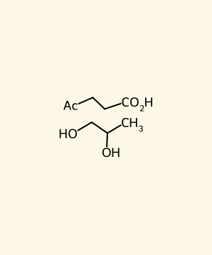 CC(=O)CCC(=O)O.CC(O)CO